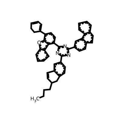 CCCCC1C=Cc2cc(-c3nc(-c4ccc5ccc6ccccc6c5c4)nc(-c4ccc(C5=CC=CCC5)c5oc6ccccc6c45)n3)ccc2C1